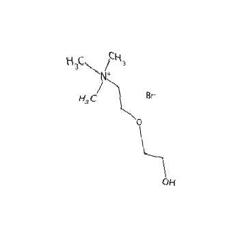 C[N+](C)(C)CCOCCO.[Br-]